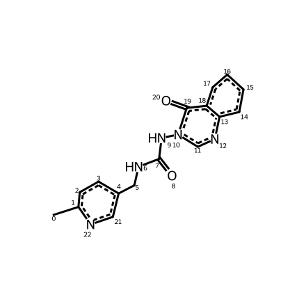 Cc1ccc(CNC(=O)Nn2cnc3ccccc3c2=O)cn1